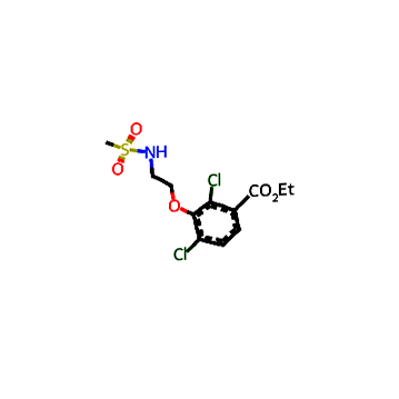 CCOC(=O)c1ccc(Cl)c(OCCNS(C)(=O)=O)c1Cl